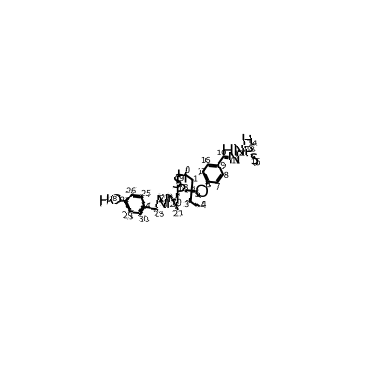 CCC(CC)(Oc1ccc(C=NN[PH](C)=S)cc1)[PH](=S)N(C)N=Cc1ccc(O)cc1